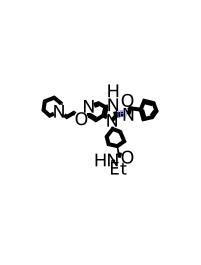 CCNC(=O)[C@H]1CC[C@@H](n2/c(=N/C(=O)c3ccccc3)[nH]c3cnc(OCCN4CCCCC4)cc32)CC1